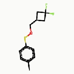 Cc1ccc(SOCC2CC(F)(F)C2)cc1